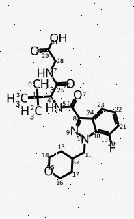 CC(C)(C)[C@H](NC(=O)c1nn(CC2CCOCC2)c2c(F)cccc12)C(=O)NCC(=O)O